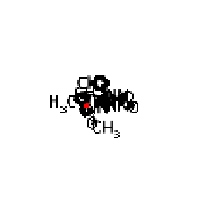 COC[C@@H]1CC[C@@H](COC)N1c1nc2nc(-c3noc(=O)[nH]3)nc(-c3cccc(Cl)c3)c2n1C[C@H]1CC[C@H](C)CC1